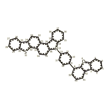 c1ccc2c(c1)oc1c(-c3ccc(-n4c5ccccc5c5c6ccc7c8ccccc8sc7c6ccc54)cc3)cccc12